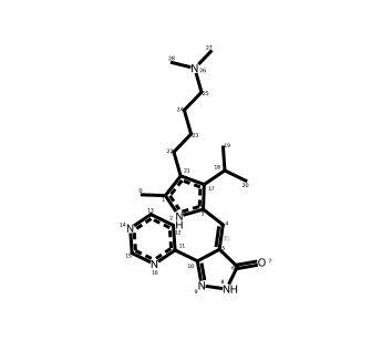 Cc1[nH]c(/C=C2/C(=O)NN=C2c2ccncn2)c(C(C)C)c1CCCCN(C)C